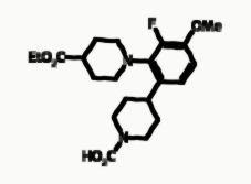 CCOC(=O)C1CCN(c2c(C3CCN(C(=O)O)CC3)ccc(OC)c2F)CC1